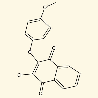 COc1ccc(OC2=C(Cl)C(=O)c3ccccc3C2=O)cc1